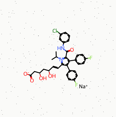 CC(C)n1c(C=C[C@@H](O)C[C@@H](O)CC(=O)[O-])c(-c2ccc(F)cc2)c(-c2ccc(F)cc2)c1C(=O)Nc1cccc(Cl)c1.[Na+]